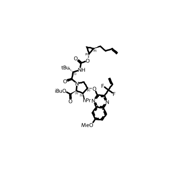 C=CCC[C@@H]1C[C@H]1OC(=O)N[C@H](C(=O)N1C[C@H](Oc2nc3cc(OC)ccc3nc2C(F)(F)C=C)[C@@H](CCC)[C@H]1C(=O)OCC(C)C)C(C)(C)C